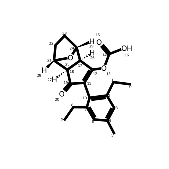 CCc1cc(C)cc(CC)c1C1=C(OC(=O)O)[C@H]2[C@@H](C1=O)[C@@H]1CC[C@H]2O1